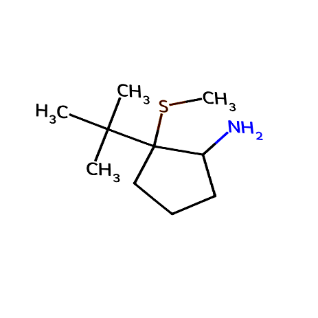 CSC1(C(C)(C)C)CCCC1N